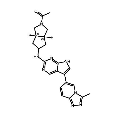 CC(=O)N1C[C@H]2CC(Nc3ncc4c(-c5ccc6nnc(C)n6c5)c[nH]c4n3)C[C@H]2C1